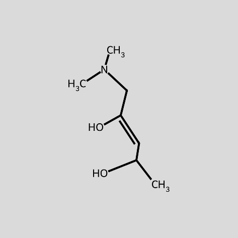 CC(O)C=C(O)CN(C)C